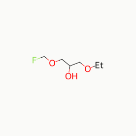 CCOCC(O)COCF